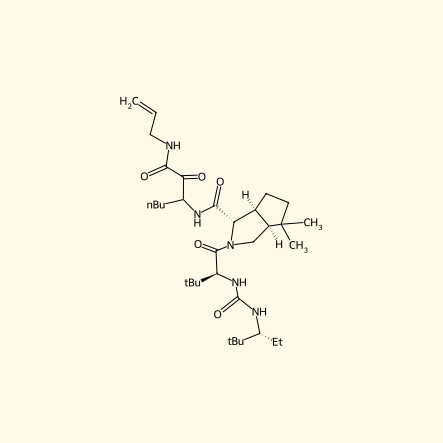 C=CCNC(=O)C(=O)C(CCCC)NC(=O)[C@@H]1[C@H]2CCC(C)(C)[C@H]2CN1C(=O)[C@@H](NC(=O)N[C@H](CC)C(C)(C)C)C(C)(C)C